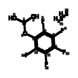 OB(O)Oc1c(F)c(F)c(F)c(F)c1F.S.S